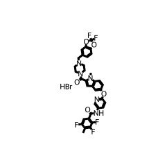 Br.Cc1c(F)cc(C(=O)Nc2ccc(Oc3ccc4c(c3)cc(C(=O)N3CCN(Cc5ccc6c(c5)OC(F)(F)O6)CC3)n4C)nc2)c(F)c1F